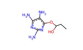 CCC(O)Oc1nc(N)nc(N)c1N